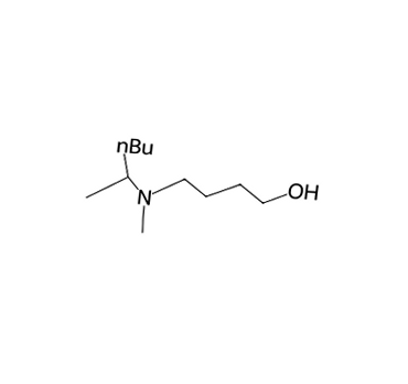 CCCCC(C)N(C)CCCCO